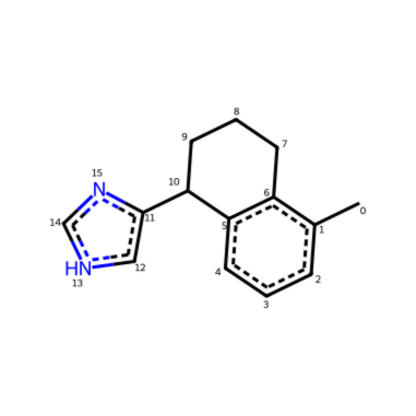 Cc1cccc2c1CCCC2c1c[nH]cn1